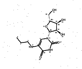 CCCNc1cn([C@@H]2O[C@H](CO)[C@@H](O)[C@H]2O)c(=O)[nH]c1=O